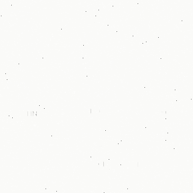 C=C(CC1=CCC=C1c1cc2cc(CC3CCCCC3)ccc2[nH]1)c1c(C)cc(CC)cc1C